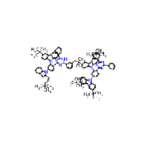 CC(C)(C)C/C=C\c1cc2ccccc2n1-c1ccc(C2=NC(c3cccc(CC(C)(C)c4ccc5c(c4)c4cc(C(C)(C)C)ccc4n5-c4cc(-n5c6ccc(C(C)(C)C)cc6c6cc(C(C)(C)C)ccc65)ccc4-c4nc(-c5ccccc5)nc(-c5ccccc5)n4)c3)NC(c3ccccc3)=N2)c(-n2c3ccccc3c3cc(C(C)(C)C)ccc32)c1